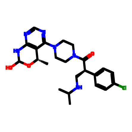 CC(C)NC[C@@H](C(=O)N1CCN(c2ncnc3c2[C@H](C)OC(O)N3)CC1)c1ccc(Cl)cc1